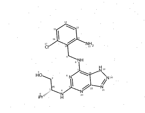 CC(C)[C@H](CO)Nc1nc(NCc2c(N)cccc2Cl)c2[nH]nnc2n1